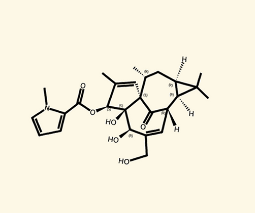 CC1=C[C@]23C(=O)[C@@H](C=C(CO)[C@@H](O)[C@]2(O)[C@H]1OC(=O)c1cccn1C)[C@H]1[C@@H](C[C@H]3C)C1(C)C